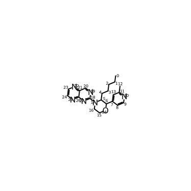 CCCCCC1C(c2ccnc(C)c2)OCCN1c1ncc2nccnc2n1